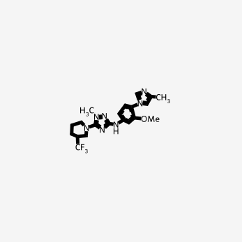 COc1cc(Nc2nc(N3CCCC(C(F)(F)F)C3)n(C)n2)ccc1-n1cnc(C)c1